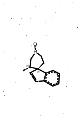 C[C@H]1CN(Cl)CC[C@@]12C=Cc1ccccc12